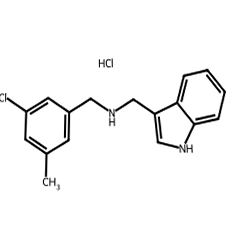 Cc1cc(Cl)cc(CNCc2c[nH]c3ccccc23)c1.Cl